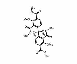 COc1c(C(=O)OC(C)(C)C)ccc(C(C)(C)c2ccc(C(=O)OC(C)(C)C)c(OC)c2C(=O)OC(C)(C)C)c1C(=O)OC(C)(C)C